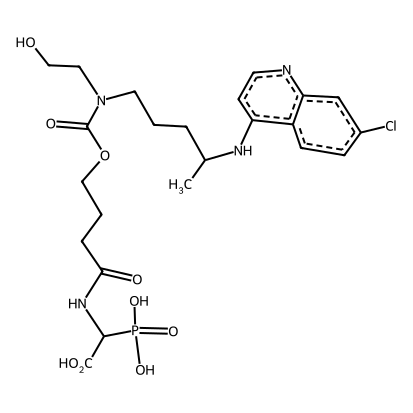 CC(CCCN(CCO)C(=O)OCCCC(=O)NC(C(=O)O)P(=O)(O)O)Nc1ccnc2cc(Cl)ccc12